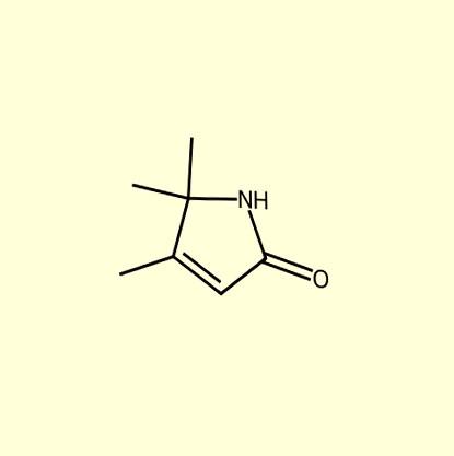 CC1=CC(=O)NC1(C)C